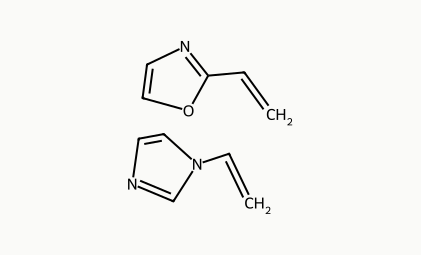 C=Cc1ncco1.C=Cn1ccnc1